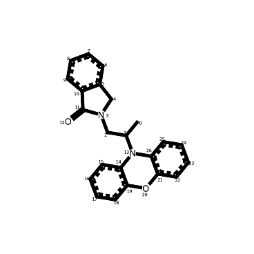 CC(CN1Cc2ccccc2C1=O)N1c2ccccc2Oc2ccccc21